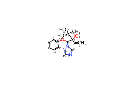 C=CC(O)(C(Oc1ccccc1)n1cncn1)C(C)(C)C